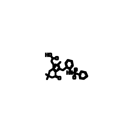 Cc1c(Cc2ccccc2NS(=O)(=O)c2ccccc2)c2c(n1CC(=O)O)CC(C)(C)CC2=O